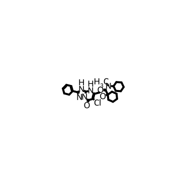 CN(C(=O)C1(OCC2=C(Cl)C(=O)N3N=C(C4=CC=CCC4)NC3N2)CCCCC1)C1CCCCC1